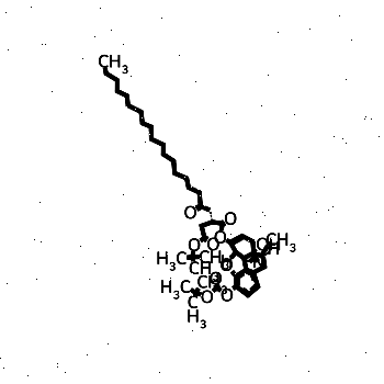 CCCCCCCCCCCCCCCCCC(=O)C[C@@H](CC(=O)OC(C)(C)C)C(=O)OC1=CC[C@@]2(O)[C@H]3Cc4ccc(OC(=O)OC(C)(C)C)c5c4[C@@]2(CCN3C)[C@H]1O5